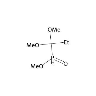 CCC(OC)(OC)[PH](=O)OC